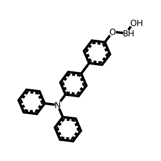 OBOc1ccc(-c2ccc(N(c3ccccc3)c3ccccc3)cc2)cc1